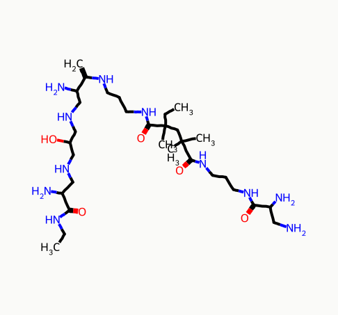 C=C(NCCCNC(=O)C(C)(CC)CC(C)(C)C(=O)NCCCNC(=O)C(N)CN)C(N)CNCC(O)CNCC(N)C(=O)NCC